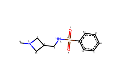 CN1CC(CNS(=O)(=O)c2ccccc2)C1